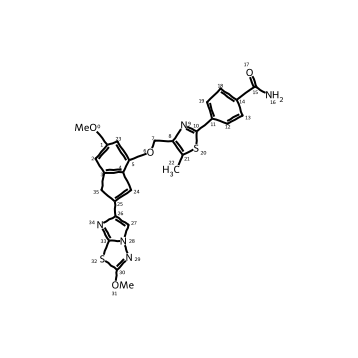 COc1cc2c(c(OCc3nc(-c4ccc(C(N)=O)cc4)sc3C)c1)C=C(c1cn3nc(OC)sc3n1)C2